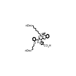 CCCCCCCCCCCCCCCCCCN1C(C(C(=O)Nc2ccccc2OCCCCCCCCCCCCCC)n2cc(C(=O)O)cn2)=Nc2ccccc2S1(=O)=O